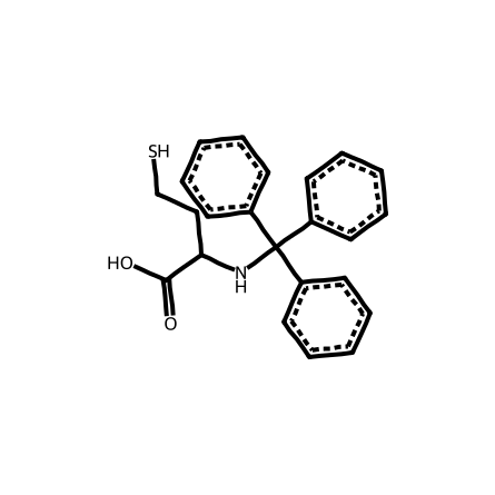 O=C(O)C(CCS)NC(c1ccccc1)(c1ccccc1)c1ccccc1